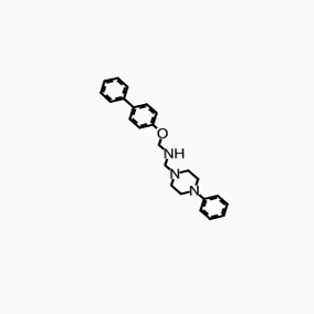 c1ccc(-c2ccc(OCNCN3CCN(c4ccccc4)CC3)cc2)cc1